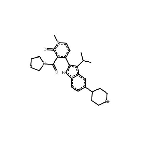 CC(C)c1c(-c2ccn(C)c(=O)c2C(=O)N2CCCC2)[nH]c2ccc(C3CCNCC3)cc12